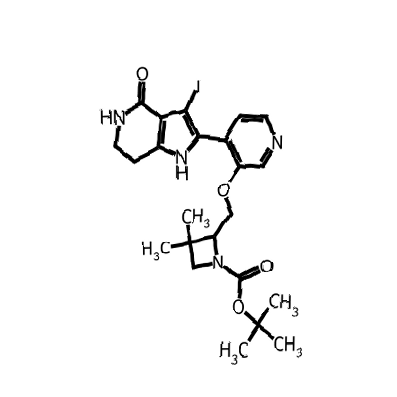 CC(C)(C)OC(=O)N1CC(C)(C)C1COc1cnccc1-c1[nH]c2c(c1I)C(=O)NCC2